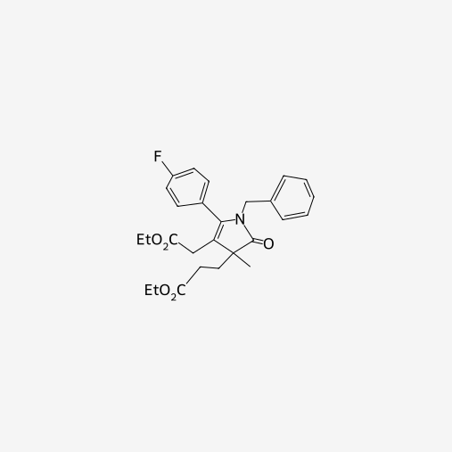 CCOC(=O)CCC1(C)C(=O)N(Cc2ccccc2)C(c2ccc(F)cc2)=C1CC(=O)OCC